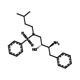 CC(C)CCN(C[C@@H](O)[C@@H](N)Cc1ccccc1)S(=O)(=O)c1ccccc1